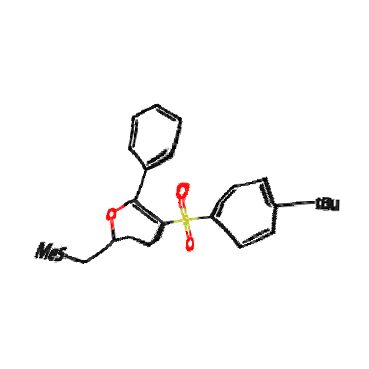 CSCC1CC(S(=O)(=O)c2ccc(C(C)(C)C)cc2)=C(c2ccccc2)O1